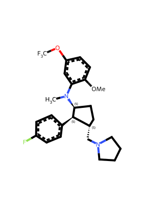 COc1ccc(OC(F)(F)F)cc1N(C)[C@H]1CC[C@H](CN2CCCC2)[C@H]1c1ccc(F)cc1